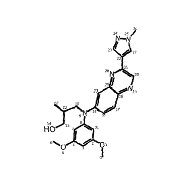 COc1cc(OC)cc(N(CC(C)CO)c2ccc3ncc(-c4cnn(C)c4)nc3c2)c1